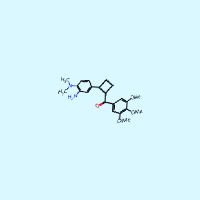 COc1cc(C(=O)C2CCC2c2ccc(N(C)C)c(N)c2)cc(OC)c1OC